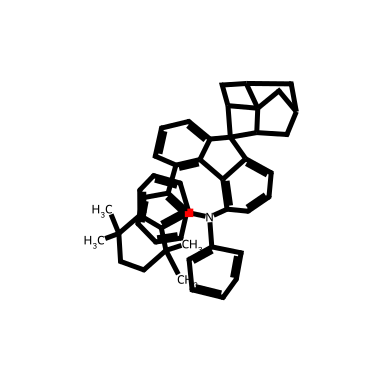 CC1(C)CCC(C)(C)c2c(N(c3ccccc3)c3cccc4c3-c3c(-c5ccccc5)cccc3C43C4CC5CC6CC3C64C5)cccc21